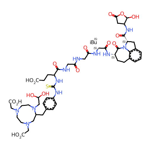 CC[C@H](C)[C@H](NC(=O)CNC(=O)CNC(=O)C(CCC(=O)O)NC(=S)Nc1ccc(CC2CN(CC(=O)O)CCN(CC(=O)O)CCN2CC(O)O)cc1)C(=O)N[C@H]1CCc2cccc3c2N(C1=O)[C@H](C(=O)NC1CC(=O)OC1O)C3